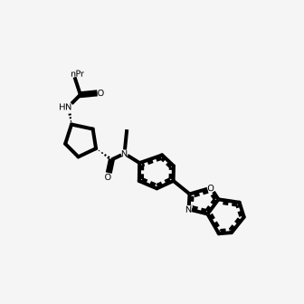 CCCC(=O)N[C@H]1CC[C@@H](C(=O)N(C)c2ccc(-c3nc4ccccc4o3)cc2)C1